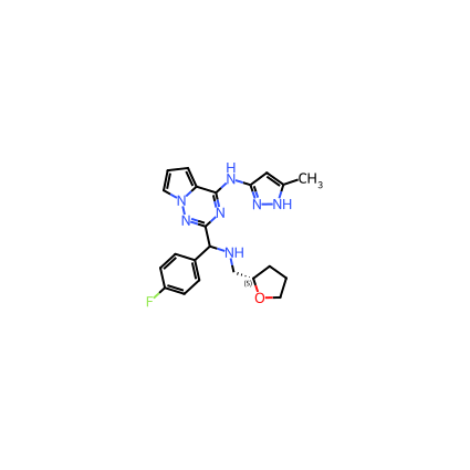 Cc1cc(Nc2nc(C(NC[C@@H]3CCCO3)c3ccc(F)cc3)nn3cccc23)n[nH]1